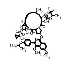 COc1ccc2c(O[C@@H]3C[C@H]4C(=O)N[C@]5(C(=O)NS(=O)(=O)C6(C)CC6)C[C@H]5/C=C\CC[C@@H](C)C[C@@H](C)[C@H](NC(=O)O[C@H](C)C(F)(F)F)C(=O)N4C3)nc(-c3ccc(OC(C)C)cc3)c(OC)c2c1